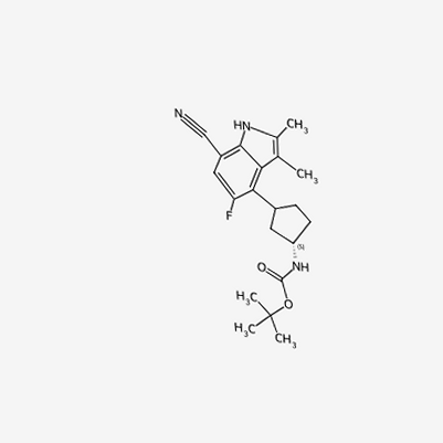 Cc1[nH]c2c(C#N)cc(F)c(C3CC[C@H](NC(=O)OC(C)(C)C)C3)c2c1C